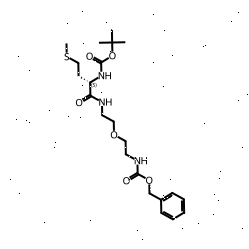 CSCC[C@H](NC(=O)OC(C)(C)C)C(=O)NCCOCCNC(=O)OCc1ccccc1